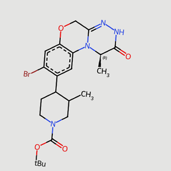 CC1CN(C(=O)OC(C)(C)C)CCC1c1cc2c(cc1Br)OCC1=NNC(=O)[C@@H](C)N12